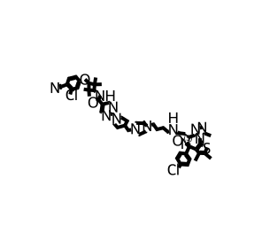 Cc1sc2c(c1C)C(c1ccc(Cl)cc1)=N[C@@H](CC(=O)NCCCCN1CCN(CC3CCN(c4ncc(C(=O)NC5C(C)(C)C(Oc6ccc(C#N)c(Cl)c6)C5(C)C)cn4)CC3)CC1)c1nnc(C)n1-2